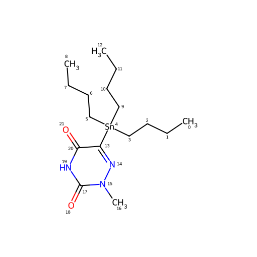 CCC[CH2][Sn]([CH2]CCC)([CH2]CCC)[c]1nn(C)c(=O)[nH]c1=O